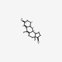 CC1=C2CCC3(C)C(=O)CCC3C2CC2CCC(=O)C=C12